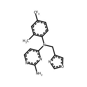 Cc1cc(C(F)(F)F)ccc1N(Cc1cocn1)c1ccnc(N)n1